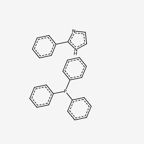 c1ccc(-c2ncc[nH]2)cc1.c1ccc(P(c2ccccc2)c2ccccc2)cc1